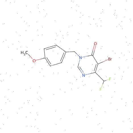 COc1ccc(Cn2cnc(C(F)F)c(Br)c2=O)cc1